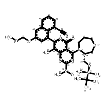 COCOc1cc(-c2oc(=O)c3c(N4CCCOC[C@@H]4CO[Si](C)(C)C(C)(C)C)nc([S+](C)[O-])nc3c2C)c2c(C#N)cccc2c1